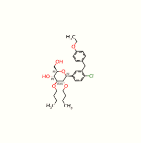 CCCCO[C@@H]1[C@@H](OCCCC)[C@H](O)[C@@H](CO)O[C@H]1c1ccc(Cl)c(Cc2ccc(OCC)cc2)c1